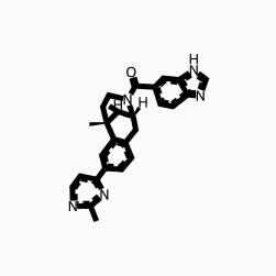 Cc1nccc(-c2ccc3c(c2)[C@]2(C)CCN(C(=O)c4ccc5nc[nH]c5c4)[C@H](C3)[C@H]2C)n1